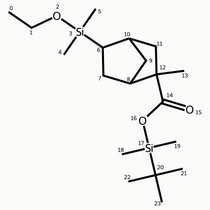 CCO[Si](C)(C)C1CC2CC1CC2(C)C(=O)O[Si](C)(C)C(C)(C)C